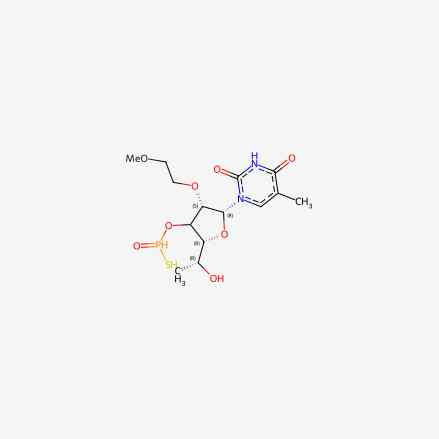 COCCO[C@H]1C(O[PH](=O)S)[C@@H]([C@@H](C)O)O[C@H]1n1cc(C)c(=O)[nH]c1=O